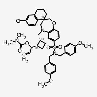 C=CC(OC(=O)N(C)C)[C@@H]1CC[C@H]1CN1C[C@@]2(CCCc3cc(Cl)ccc32)COc2ccc(S(=O)(=O)N(Cc3ccc(OC)cc3)Cc3ccc(OC)cc3)cc21